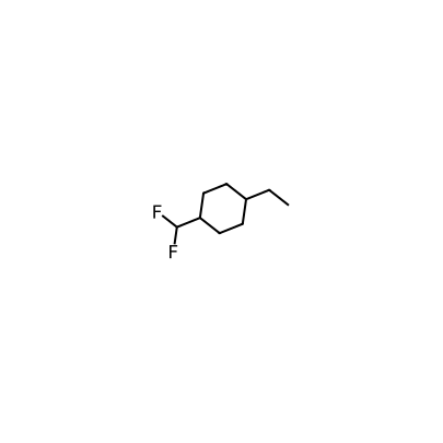 CCC1CCC(C(F)F)CC1